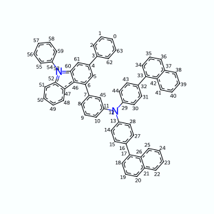 c1ccc(-c2cc(-c3cccc(N(c4ccc(-c5cccc6ccccc56)cc4)c4ccc(-c5cccc6ccccc56)cc4)c3)c3c4ccccc4n(-c4ccccc4)c3c2)cc1